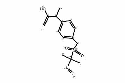 CC(C(=O)O)c1ccc(CS(=O)(=O)C(C)(C)N=O)cc1